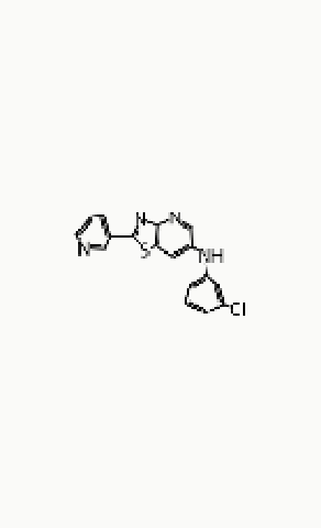 Clc1cccc(Nc2cnc3nc(-c4cccnc4)sc3c2)c1